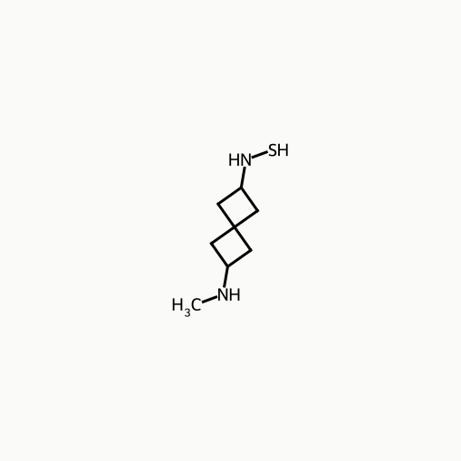 CNC1CC2(C1)CC(NS)C2